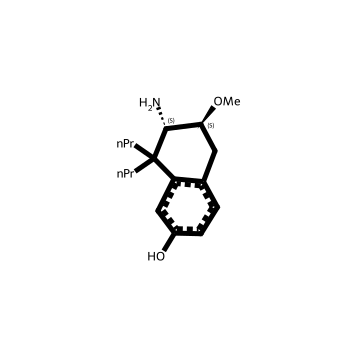 CCCC1(CCC)c2cc(O)ccc2C[C@H](OC)[C@H]1N